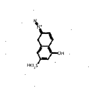 [N-]=[N+]=C1C=Cc2c(O)cc(S(=O)(=O)O)cc2C1